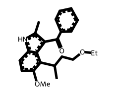 CCOCCC(C)c1c(OC)ccc2[nH]c(C)c(C(=O)c3ccccc3)c12